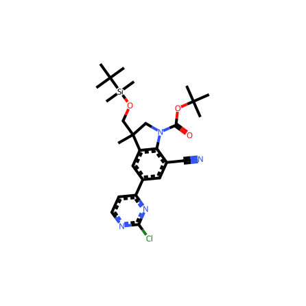 CC(C)(C)OC(=O)N1CC(C)(CO[Si](C)(C)C(C)(C)C)c2cc(-c3ccnc(Cl)n3)cc(C#N)c21